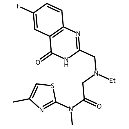 CCN(CC(=O)N(C)c1nc(C)cs1)Cc1nc2ccc(F)cc2c(=O)[nH]1